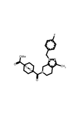 COC(=O)C12CCC(C(=O)N3CCc4c(C)nn(Cc5ccc(F)cc5)c4C3)(CC1)CC2